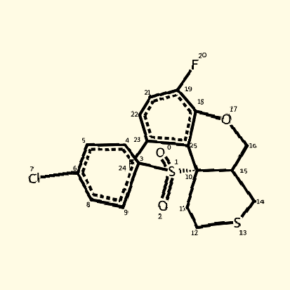 O=S(=O)(c1ccc(Cl)cc1)[C@@]12CCSCC1COc1c(F)ccc(F)c12